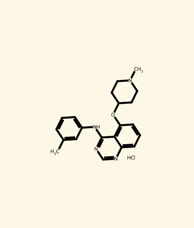 Cc1cccc(Nc2ncnc3cccc(OC4CCN(C)CC4)c23)c1.Cl